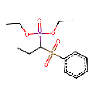 CCOP(=O)(OCC)C(CC)S(=O)(=O)c1ccccc1